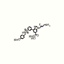 COC(=O)c1cc(-c2cccc(S(=O)(=O)NCc3ccc(OC)cc3)c2)c2ncn(C/C(F)=C/CN)c2c1.Cl